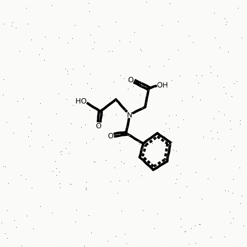 O=C(O)CN(CC(=O)O)C(=O)c1ccccc1